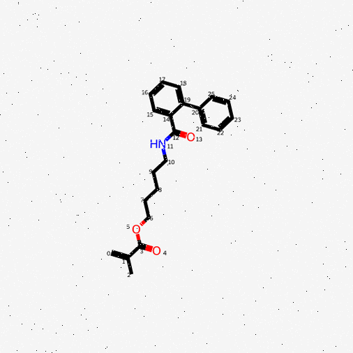 C=C(C)C(=O)OCCCCCNC(=O)c1ccccc1-c1ccccc1